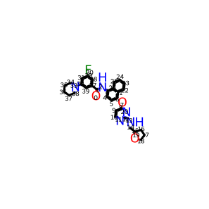 O=C(Nc1ccc(Oc2ccnc(NCC3CCCO3)n2)c2ccccc12)c1cc(F)cc(N2CCCCC2)c1